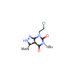 CCCCn1c(=O)c2c(NC)[nH]nc2n(CCCl)c1=O